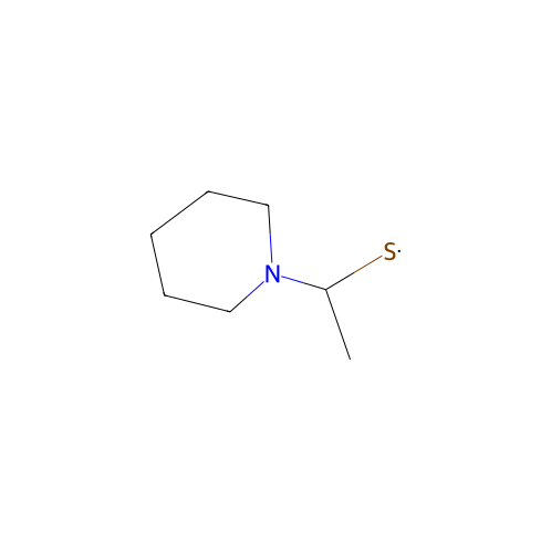 CC([S])N1CCCCC1